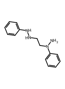 NN(CCNNc1ccccc1)c1ccccc1